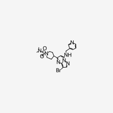 CN(C)S(=O)(=O)N1CCC(c2cc(NCc3cccnc3)n3ncc(Br)c3n2)CC1